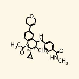 CNC(=O)c1ccc(NC2c3cc(C4=CCOCC4)ccc3N(C(C)=O)[C@@H](C3CC3)[C@@H]2C)cc1